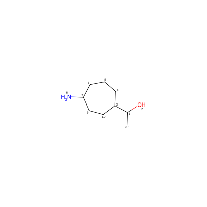 CC(O)C1CCCC(N)CC1